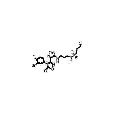 O=c1onc(-c2nonc2NCCCNS(=O)(=O)CCCCl)n1-c1ccc(F)c(Br)c1